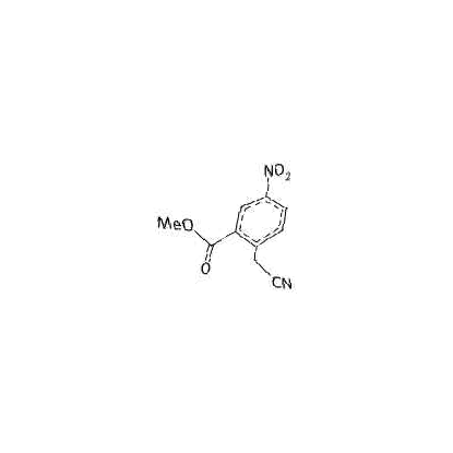 COC(=O)c1cc([N+](=O)[O-])ccc1CC#N